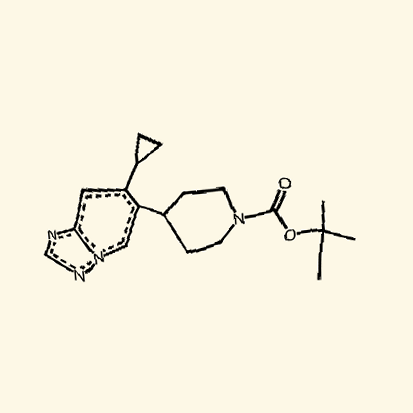 CC(C)(C)OC(=O)N1CCC(c2cn3ncnc3cc2C2CC2)CC1